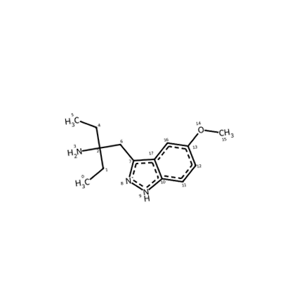 CCC(N)(CC)Cc1n[nH]c2ccc(OC)cc12